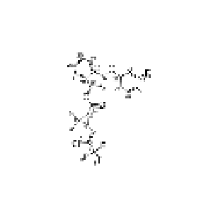 CC1(C)C(/C=C(\Cl)C(F)(F)F)C1C(=O)O[C@@H]1C[C@@H](Cc2cccc(F)c2)c2ccccc21